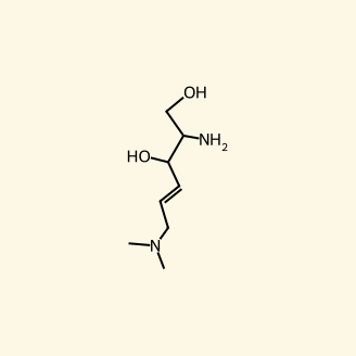 CN(C)C/C=C/C(O)C(N)CO